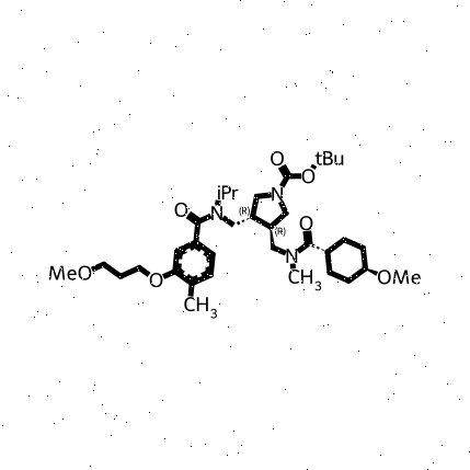 COCCCOc1cc(C(=O)N(C[C@@H]2CN(C(=O)OC(C)(C)C)C[C@H]2CN(C)C(=O)[C@H]2CC[C@H](OC)CC2)C(C)C)ccc1C